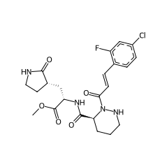 COC(=O)[C@H](C[C@@H]1CCNC1=O)NC(=O)[C@@H]1CCCNN1C(=O)/C=C/c1ccc(Cl)cc1F